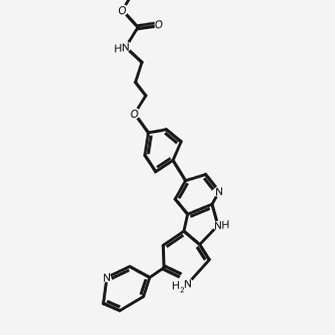 C=C(/C=c1\c(=C/N)[nH]c2ncc(-c3ccc(OCCCNC(=O)OC(C)(C)C)cc3)cc12)c1cccnc1